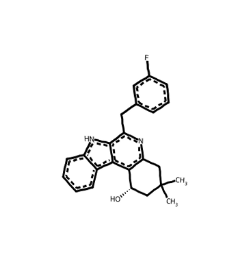 CC1(C)Cc2nc(Cc3cccc(F)c3)c3[nH]c4ccccc4c3c2[C@@H](O)C1